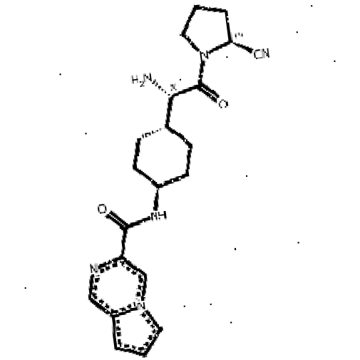 N#C[C@@H]1CCCN1C(=O)[C@@H](N)[C@H]1CC[C@H](NC(=O)c2cn3cccc3cn2)CC1